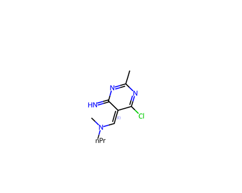 CCCN(C)/C=C1\C(=N)N=C(C)N=C1Cl